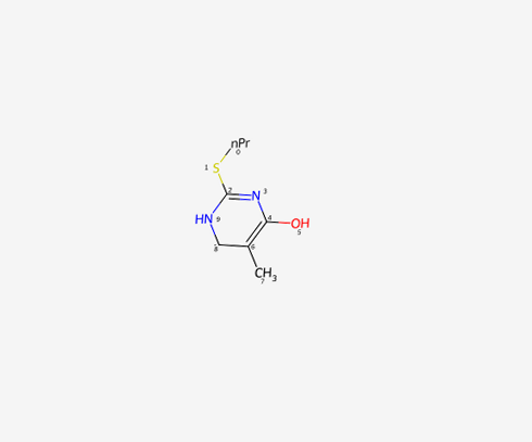 CCCSC1=NC(O)=C(C)[CH]N1